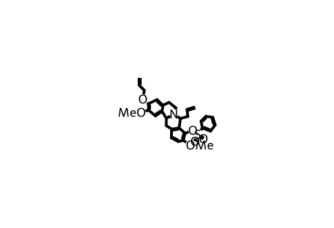 C=CCOc1cc2c(cc1OC)C1Cc3ccc(OC)c(OS(=O)(=O)c4ccccc4)c3C(CC=C)N1CC2